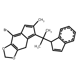 CC1=CC2=C(Br)C3=C(CC2=C1C(C)(C)C1C=Cc2ccccc21)OCO3